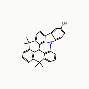 CC1(C)c2cccc3c2B2c4c1cccc4C(C)(C)c1ccc4c5cc(C#N)ccc5n-3c4c12